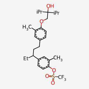 CCC(CCc1ccc(OCC(O)(C(C)C)C(C)C)c(C)c1)c1ccc(OS(=O)(=O)C(F)(F)F)c(C)c1